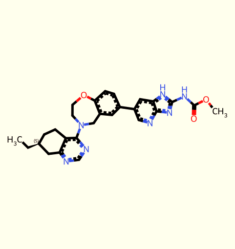 CC[C@H]1CCc2c(ncnc2N2CCOc3ccc(-c4cnc5nc(NC(=O)OC)[nH]c5c4)cc3C2)C1